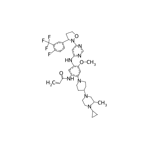 C=CC(=O)Nc1cc(Nc2cc(N3OCCC3c3ccc(F)c(C(F)(F)F)c3)ncn2)c(OC)cc1N1CCC(N2CCN(C3CC3)C(C)C2)CC1